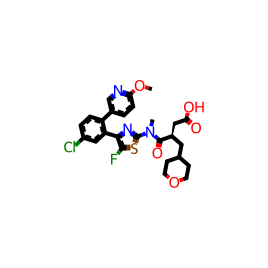 COc1ccc(-c2ccc(Cl)cc2-c2nc(N(C)C(=O)[C@@H](CC(=O)O)CC3CCOCC3)sc2F)cn1